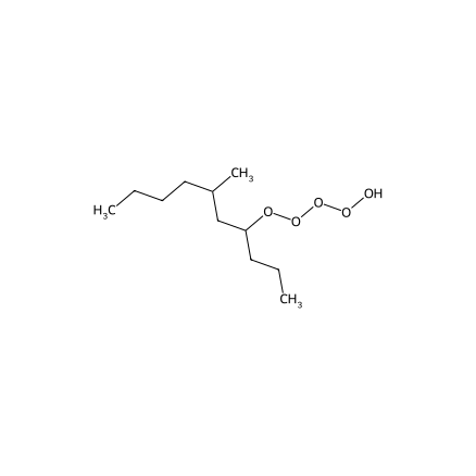 CCCCC(C)CC(CCC)OOOOO